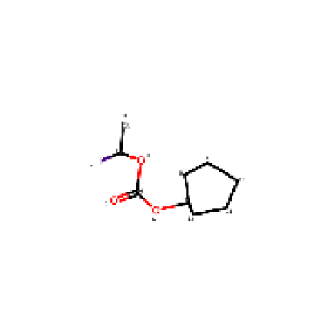 CCC(I)OC(=O)OC1CCCCC1